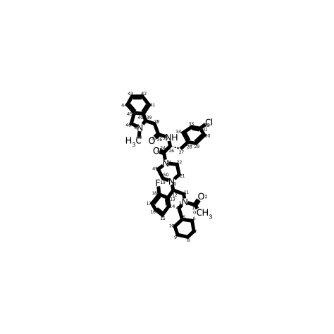 CC(=O)N(CC1CCCCC1)CC(c1ccccc1F)N1CCN(C(=O)[C@@H](Cc2ccc(Cl)cc2)NC(=O)CC2c3ccccc3CN2C)CC1